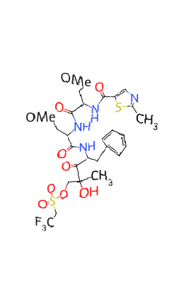 COCC(NC(=O)c1cnc(C)s1)C(=O)NC(COC)C(=O)NC(Cc1ccccc1)C(=O)C(C)(O)COS(=O)(=O)CC(F)(F)F